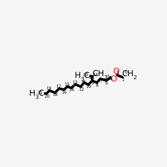 C=CC(=O)OCCCCC(CCCCCCCCCCCC)C(C)C